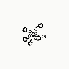 N#Cc1ccc(F)c([C@@H]2O[C@H](COCc3ccccc3)[C@@H](OCc3ccccc3)[C@H](OCc3ccccc3)[C@H]2OCc2ccccc2)c1